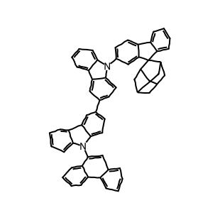 c1ccc2c(c1)-c1ccc(-n3c4ccccc4c4cc(-c5ccc6c(c5)c5ccccc5n6-c5cc6ccccc6c6ccccc56)ccc43)cc1C21C2CC3CC(C2)CC1C3